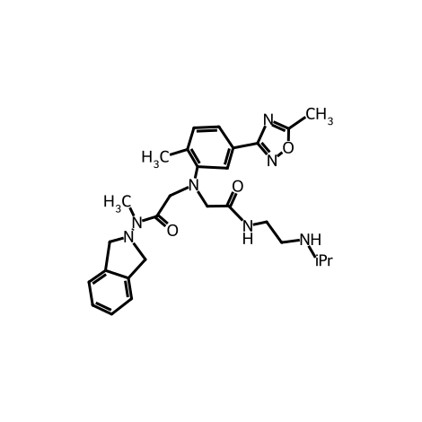 Cc1nc(-c2ccc(C)c(N(CC(=O)NCCNC(C)C)CC(=O)N(C)N3Cc4ccccc4C3)c2)no1